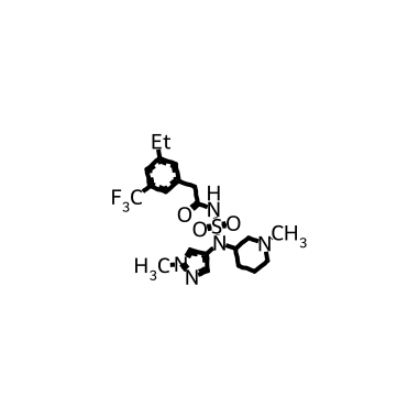 CCc1cc(CC(=O)NS(=O)(=O)N(c2cnn(C)c2)C2CCCN(C)C2)cc(C(F)(F)F)c1